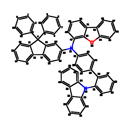 c1ccc(C2(c3ccccc3)c3ccccc3-c3ccc(N(c4ccc(-c5ccccc5-n5c6ccccc6c6ccccc65)cc4)c4cccc5c4oc4ccccc45)cc32)cc1